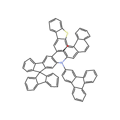 c1ccc2c(c1)-c1ccccc1C21c2ccccc2-c2cc(-c3ccc4sc5ccccc5c4c3)c(N(c3ccc4c(ccc5ccccc54)c3)c3ccc4c5ccccc5c5ccccc5c4c3)cc21